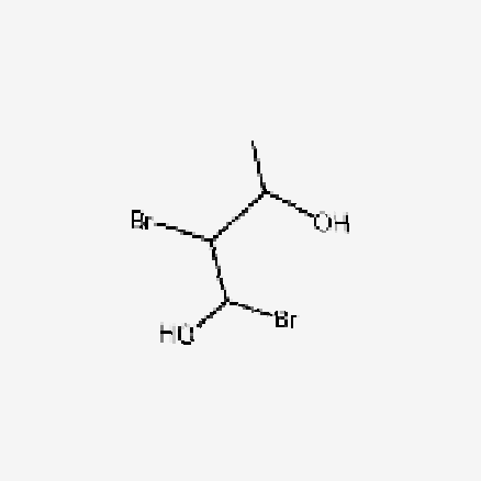 CC(O)C(Br)C(O)Br